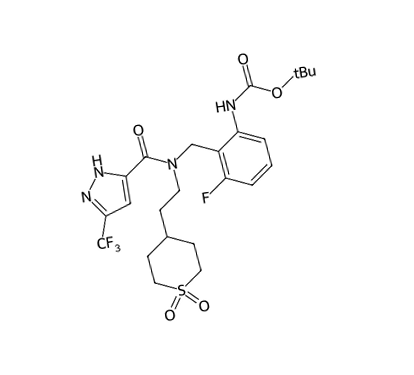 CC(C)(C)OC(=O)Nc1cccc(F)c1CN(CCC1CCS(=O)(=O)CC1)C(=O)c1cc(C(F)(F)F)n[nH]1